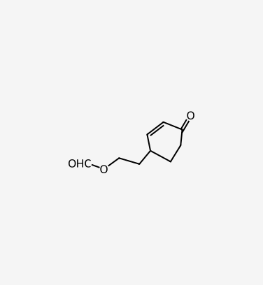 O=COCCC1C=CC(=O)CC1